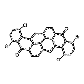 O=c1c2ccc3cc4c5c(Cl)ccc(Br)c5c(=O)c5ccc6cc(c7c(Cl)ccc(Br)c17)c2c3c6c54